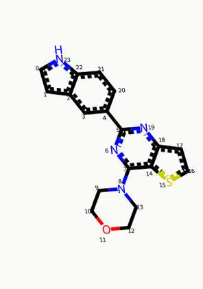 c1cc2cc(-c3nc(N4CCOCC4)c4sccc4n3)ccc2[nH]1